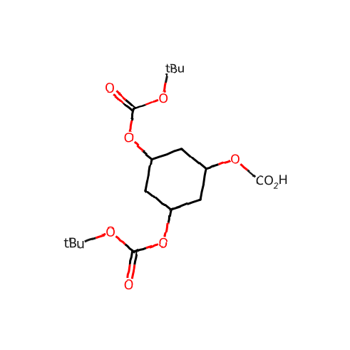 CC(C)(C)OC(=O)OC1CC(OC(=O)O)CC(OC(=O)OC(C)(C)C)C1